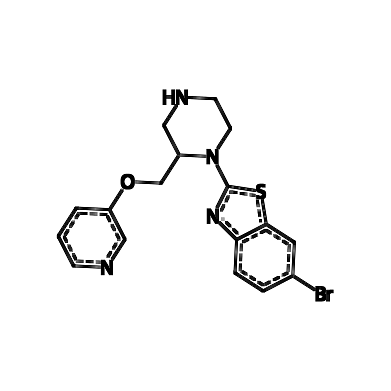 Brc1ccc2nc(N3CCNCC3COc3cccnc3)sc2c1